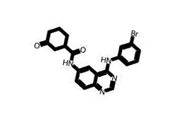 O=C1CCCC(C(=O)Nc2ccc3ncnc(Nc4cccc(Br)c4)c3c2)C1